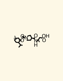 CC(C)C1CC[C@@H](C)C[C@H]1OC(=O)N1CCC(C(=O)N[C@H](C)CC(=O)O)CC1